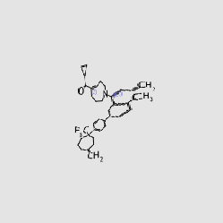 C=C/C=C(\c1cc(-c2ccc(C3(C(F)(F)F)CCCC(=C)CC3)cc2)ccc1C)N1CC/C=C(\C(=O)C2CC2)CCC1